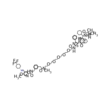 CNC(C)C(=O)NC(C(=O)N1CCC[C@H]1C(=O)Nc1sc(NC(=O)COCCOCCOCCOCCOCCN(C)C(=O)Cc2cccc(CNC(=O)c3cc(/C=C/[C@H]4CC[C@H](C(F)(F)F)CC4)c(OC)cn3)c2)nc1-c1ccccc1)C1CCCCC1